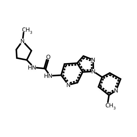 Cc1cc(-n2ncc3cc(NC(=O)NC4CCN(C)C4)ncc32)ccn1